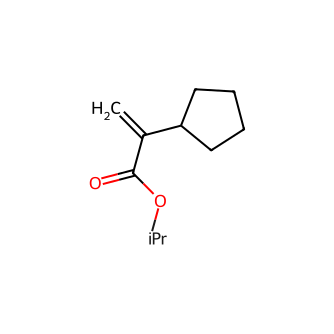 C=C(C(=O)OC(C)C)C1CCCC1